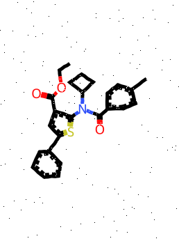 CCOC(=O)c1cc(-c2ccccc2)sc1N(C(=O)c1ccc(C)cc1)C1CCC1